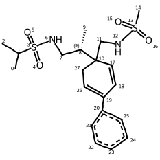 CC(C)S(=O)(=O)NC[C@H](C)C1(CNS(C)(=O)=O)C=CC(c2ccccc2)=CC1